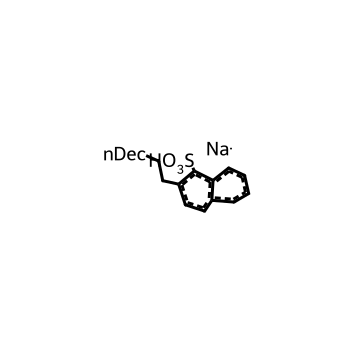 CCCCCCCCCCCCc1ccc2ccccc2c1S(=O)(=O)O.[Na]